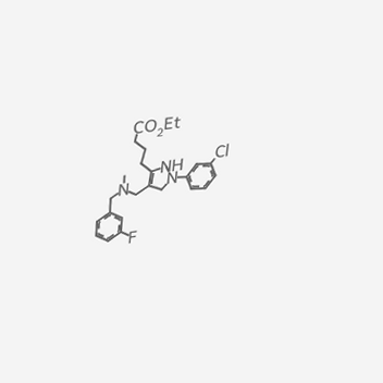 CCOC(=O)CCCC1=C(CN(C)Cc2cccc(F)c2)CN(c2cccc(Cl)c2)N1